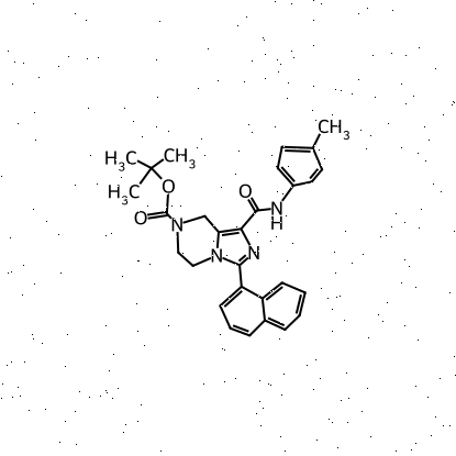 Cc1ccc(NC(=O)c2nc(-c3cccc4ccccc34)n3c2CN(C(=O)OC(C)(C)C)CC3)cc1